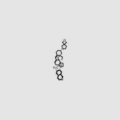 C[C@]12CC=C3C=C4CC[C@H](N5CCC6(COC6)C5)C[C@]45CC[C@]3(O5)[C@@H]1CC[C@@H]2c1ccc2ccncc2c1